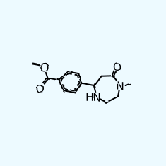 COC(=O)c1ccc(C2CC(=O)N(C)CCN2)cc1